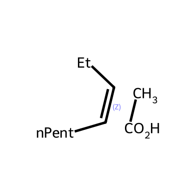 CC(=O)O.CC/C=C\CCCCC